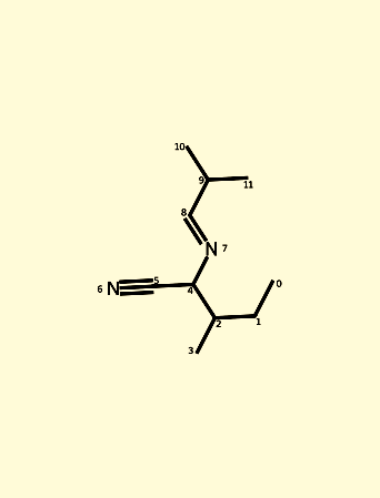 CCC(C)C(C#N)N=CC(C)C